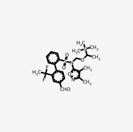 Cc1noc(N(COC(C)[Si](C)(C)C)S(=O)(=O)c2ccccc2-c2ccc(C=O)cc2C(C)(F)F)c1C